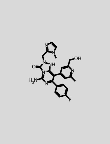 Cc1cc(-c2c(-c3ccc(F)cc3)nc(N)[n+]3c(=O)n(Cc4nccn4C)[nH]c23)cc(CO)n1